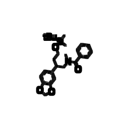 CN(CC(CCO[Si](C)(C)C(C)(C)C)c1ccc2c(c1)OCO2)C(=O)c1ccccc1